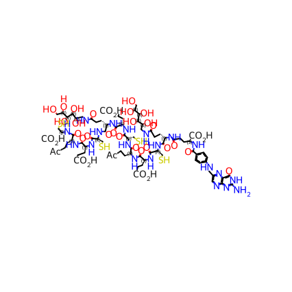 CC(=O)CC[C@H](NC(=O)[C@H](CCC(=O)O)NC(=O)[C@H](CS)NC(=O)[C@H](CCC(=O)NC[C@H](O)[C@@H](O)[C@H](O)[C@H](O)CO)NC(=O)[C@H](CCC(=O)O)NC(=O)[C@H](CS)NC(=O)[C@H](CCC(C)=O)NC(=O)[C@H](CCC(=O)O)NC(=O)[C@H](CS)NC(=O)[C@H](CCC(=O)NC[C@H](O)[C@@H](O)[C@H](O)[C@H](O)CO)NC(=O)CC[C@H](NC(=O)c1ccc(NCc2cnc3nc(N)[nH]c(=O)c3n2)cc1)C(=O)O)C(=O)N[C@@H](CS)C(=O)O